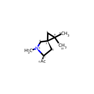 CC(=O)[C@@H]1C[C@@]2(CN1C)CC2(C)C